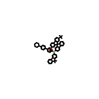 CC(C)(C)c1ccc2c(c1)C1(c3ccccc3-c3ccc(N(c4ccc(-c5ccc(C6CCCCC6)cc5)cc4)c4ccc5c(c4)-c4ccccc4C5(C)C)cc31)c1cc(C(C)(C)C)ccc1-2